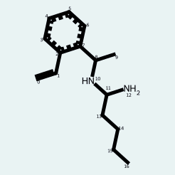 C=Cc1ccccc1C(C)NC(N)CCCC